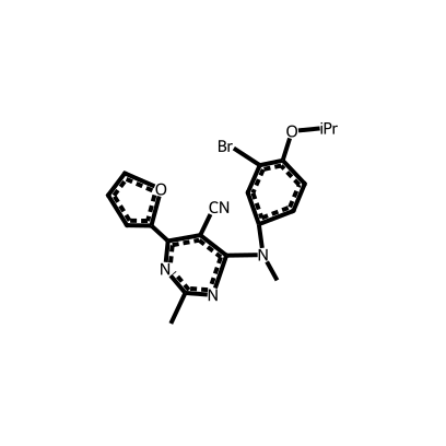 Cc1nc(-c2ccco2)c(C#N)c(N(C)c2ccc(OC(C)C)c(Br)c2)n1